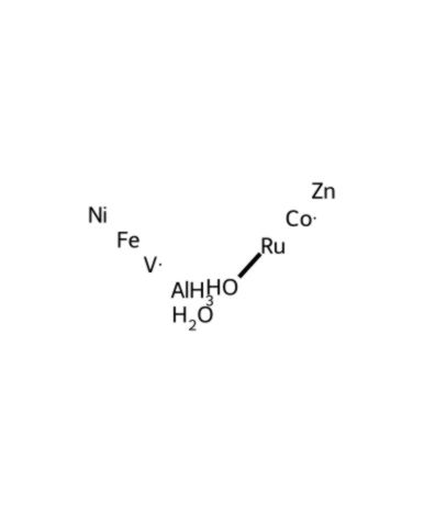 O.[AlH3].[Co].[Fe].[Ni].[OH][Ru].[V].[Zn]